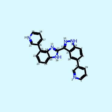 c1cncc(-c2ccc3[nH]nc(-c4nc5c(-c6cccnc6)cccc5[nH]4)c3c2)c1